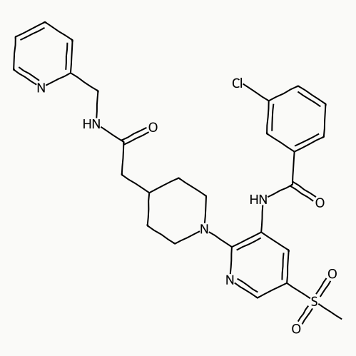 CS(=O)(=O)c1cnc(N2CCC(CC(=O)NCc3ccccn3)CC2)c(NC(=O)c2cccc(Cl)c2)c1